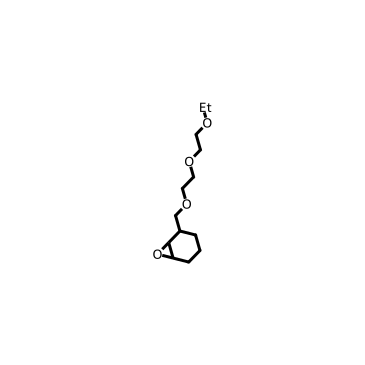 CCOCCOCCOCC1CCCC2OC12